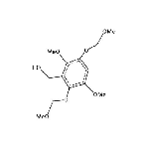 COCOc1cc(OC)c(OCOC)c(CO)c1OC